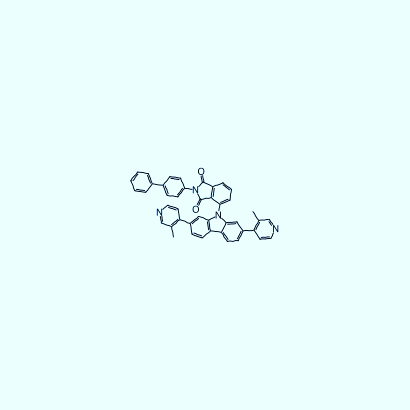 Cc1cnccc1-c1ccc2c3ccc(-c4ccncc4C)cc3n(-c3cccc4c3C(=O)N(c3ccc(-c5ccccc5)cc3)C4=O)c2c1